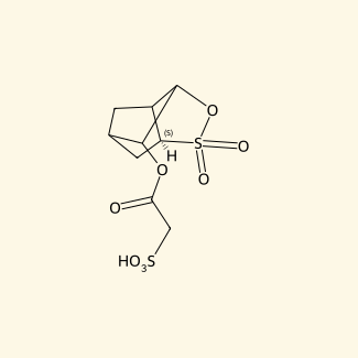 O=C(CS(=O)(=O)O)OC1C2CC3C1OS(=O)(=O)[C@H]3C2